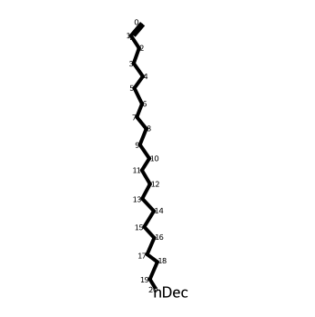 C=[C]CCCCCCCCCCCCCCCCCCCCCCCCCCCC